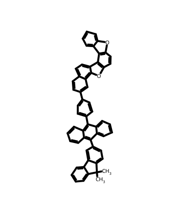 CC1(C)c2ccccc2-c2cc(-c3c4ccccc4c(-c4ccc(-c5ccc6ccc7c(oc8ccc9oc%10ccccc%10c9c87)c6c5)cc4)c4ccccc34)ccc21